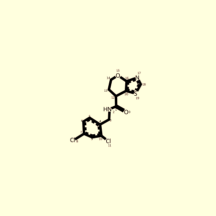 O=C(NCc1ccc(Cl)cc1Cl)C1CCOc2ncsc21